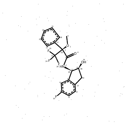 CO[C@](C(=O)N[C@@H]1c2cc(F)ccc2C[C@@H]1O)(c1ccccc1)C(F)(F)F